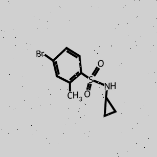 Cc1cc(Br)ccc1S(=O)(=O)N[C]1CC1